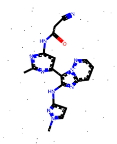 Cc1nc(NC(=O)CC#N)cc(-c2c(Nc3ccn(C)n3)nc3cccnn23)n1